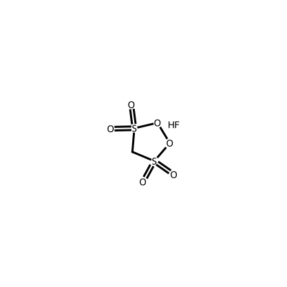 F.O=S1(=O)CS(=O)(=O)OO1